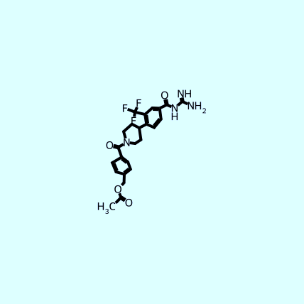 CC(=O)OCc1ccc(C(=O)N2CCC(c3ccc(C(=O)NC(=N)N)cc3C(F)(F)F)CC2)cc1